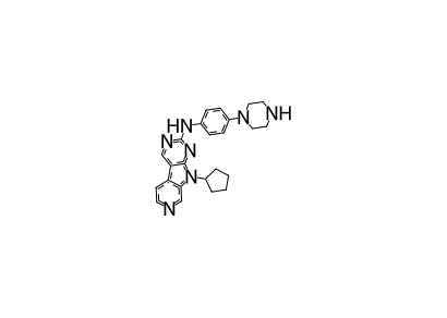 c1cc2c3cnc(Nc4ccc(N5CCNCC5)cc4)nc3n(C3CCCC3)c2cn1